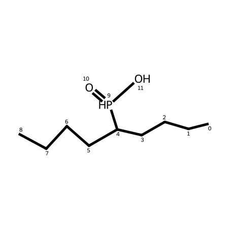 CCCCC(CCCC)[PH](=O)O